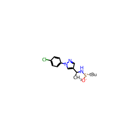 C[C@H](N[S@+]([O-])C(C)(C)C)c1cnn(-c2ccc(Cl)cc2)c1